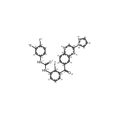 O=C(Nc1ccc(F)c(F)c1)Nc1cccc(C(=O)c2ccc3ncc(-n4cccn4)nc3c2)c1F